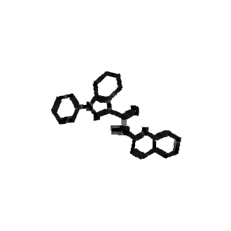 O=C(Nc1ccc2ccccc2n1)c1nn(-c2ccccc2)c2c1CCCC2